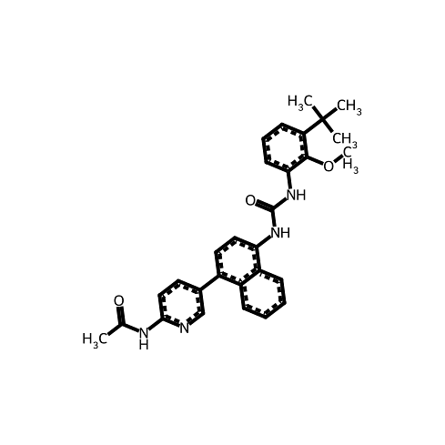 COc1c(NC(=O)Nc2ccc(-c3ccc(NC(C)=O)nc3)c3ccccc23)cccc1C(C)(C)C